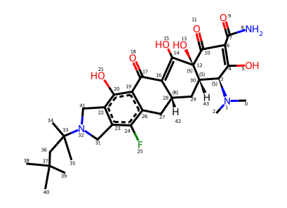 CN(C)[C@@H]1C(O)=C(C(N)=O)C(=O)[C@@]2(O)C(O)=C3C(=O)c4c(O)c5c(c(F)c4C[C@H]3C[C@@H]12)CN(C(C)(C)CC(C)(C)C)C5